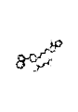 O=C(O)C=CC(=O)O.O=C1N(CCCCN2CCN(c3csc4ccccc34)CC2)CSC12CCCC2